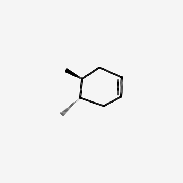 C[C@H]1CC=CC[C@@H]1C